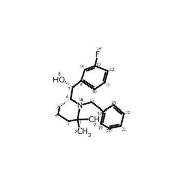 CC1(C)CCC[C@H]([C@H](O)c2cccc(F)c2)N1Cc1ccccc1